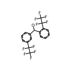 [O]C(c1cccc(C(F)(F)C(F)(F)F)c1)c1ccccc1C(F)(F)C(F)(F)F